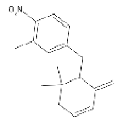 C=C1C=CCC(C)(C)C1Cc1ccc([N+](=O)[O-])c(C)c1